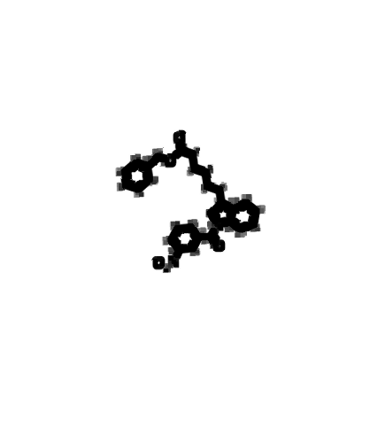 O=C(CCCCCc1cn(C(=O)c2cccc([N+](=O)[O-])c2)c2ccccc12)OCc1ccccc1